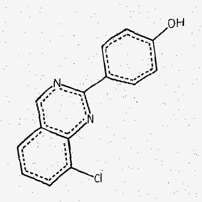 Oc1ccc(-c2ncc3cccc(Cl)c3n2)cc1